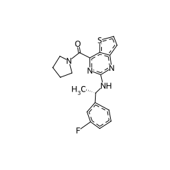 C[C@H](Nc1nc(C(=O)N2CCCC2)c2sccc2n1)c1cccc(F)c1